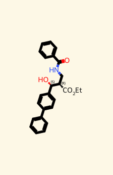 CCOC(=O)[C@H](CNC(=O)c1ccccc1)[C@H](O)c1ccc(-c2ccccc2)cc1